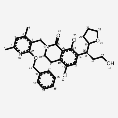 Cc1cc(C)c(CN2CCc3c(Cl)cc([C@H](CCO)C4CCCO4)c(Cl)c3C2=O)c(OCc2ccccc2)n1